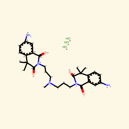 CN(CCCN1C(=O)c2cc(N)ccc2C(C)(C)C1=O)CCCN1C(=O)c2cc(N)ccc2C(C)(C)C1=O.Cl.Cl.Cl